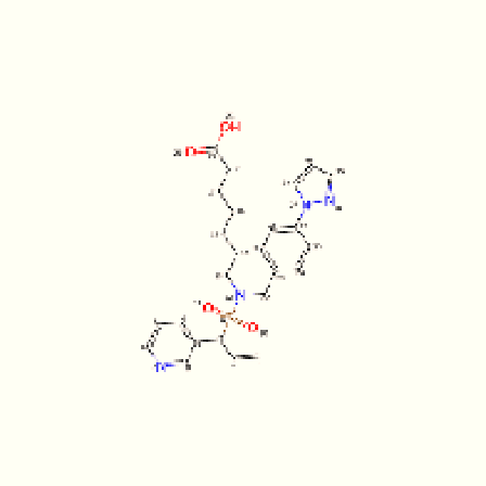 C=CC(c1cccnc1)S(=O)(=O)N(CCCCCCC(=O)O)Cc1ccc(-n2cccn2)cc1